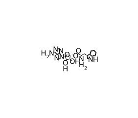 Nc1ncnc2c1ncn2[C@@H]1O[C@H](COC(=O)[C@@H](N)Cc2c[nH]c3ccccc23)[C@@H](O)[C@H]1O